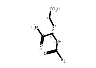 CCC(=O)N[C@@H](CCC(=O)O)C(N)=O